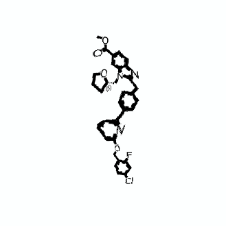 COC(=O)c1ccc2nc(Cc3ccc(-c4cccc(OCc5ccc(Cl)cc5F)n4)cc3)n(C[C@@H]3CCCO3)c2c1